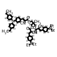 C=Cc1ccc(N(c2ccc(C=C)cc2)c2ccc(/C=C(\C#N)C(=O)OCC(C)(COC(=O)/C(C#N)=C/c3ccc(N(CC)CC)cc3)COC(=O)/C(C#N)=C/c3ccc(N(CC)CC)cc3)cc2)cc1